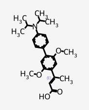 COc1cc(-c2ccc(N(C(C)C)C(C)C)cc2)c(OC)cc1/C(C)=C/C(=O)O